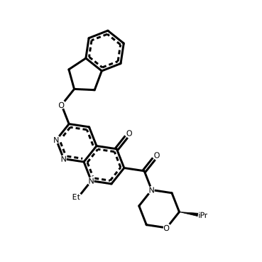 CCn1cc(C(=O)N2CCO[C@H](C(C)C)C2)c(=O)c2cc(OC3Cc4ccccc4C3)nnc21